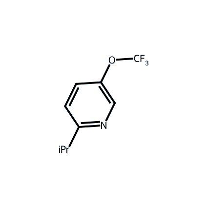 CC(C)c1ccc(OC(F)(F)F)cn1